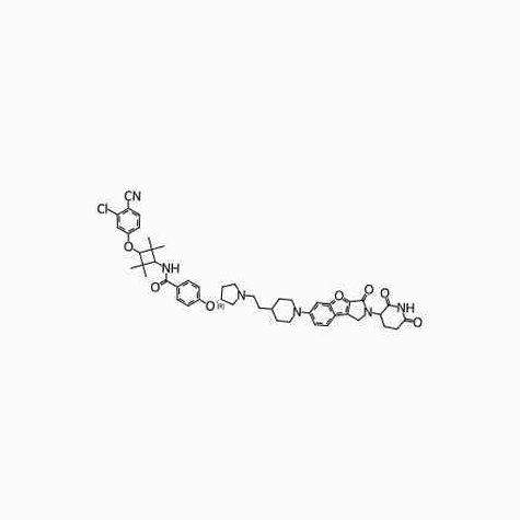 CC1(C)C(NC(=O)c2ccc(O[C@@H]3CCN(CCC4CCN(c5ccc6c7c(oc6c5)C(=O)N(C5CCC(=O)NC5=O)C7)CC4)C3)cc2)C(C)(C)C1Oc1ccc(C#N)c(Cl)c1